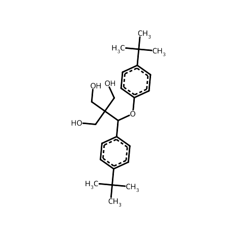 CC(C)(C)c1ccc(OC(c2ccc(C(C)(C)C)cc2)C(CO)(CO)CO)cc1